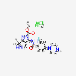 CCOC(=O)n1nc2c(c1NC(=O)c1ccc(N3CCN(C)CC3)cc1F)CNC2(C)C.Cl.Cl